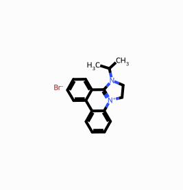 CC(C)N1CC[n+]2c1c1ccccc1c1ccccc12.[Br-]